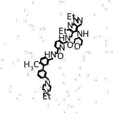 CCc1nc2c(cnn2CC)c(NC2CCOCC2)c1CNC(=O)c1cccc(C(=O)NCc2ccc(C)c(-c3cccc(CN4CCN(CC)CC4)c3)c2)n1